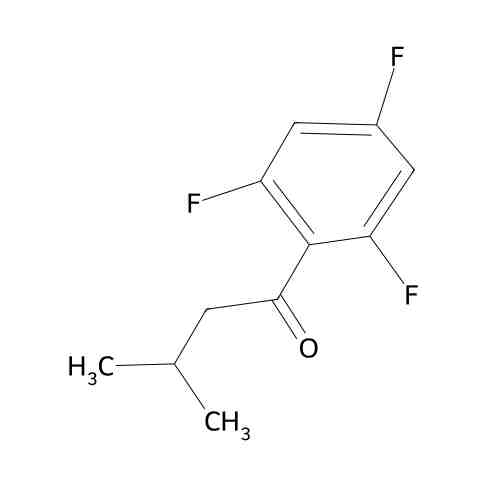 CC(C)CC(=O)c1c(F)cc(F)cc1F